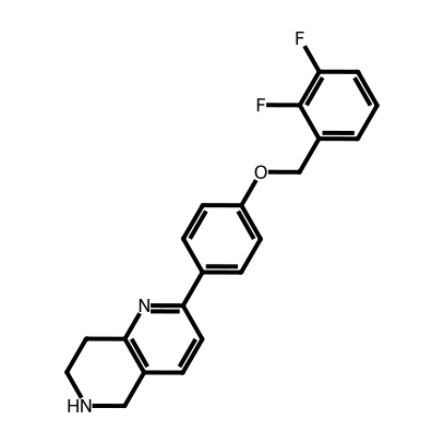 Fc1cccc(COc2ccc(-c3ccc4c(n3)CCNC4)cc2)c1F